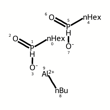 CCCCCC[PH](=O)[O-].CCCCCC[PH](=O)[O-].CCC[CH2][Al+2]